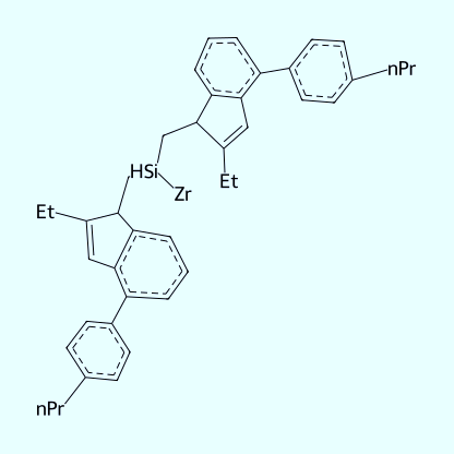 CCCc1ccc(-c2cccc3c2C=C(CC)C3C[SiH]([Zr])CC2C(CC)=Cc3c(-c4ccc(CCC)cc4)cccc32)cc1